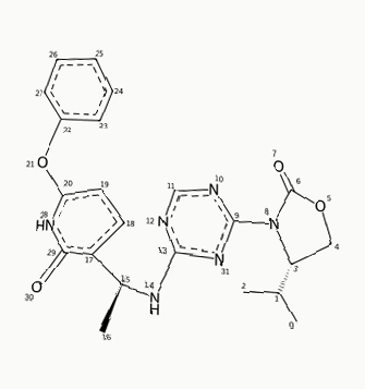 CC(C)[C@H]1COC(=O)N1c1ncnc(N[C@@H](C)c2ccc(Oc3ccccc3)[nH]c2=O)n1